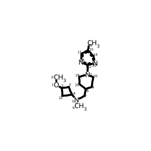 COC1CC(N(C)CC2CCN(c3ncc(C)cn3)CC2)C1